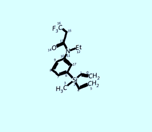 C=C[Si](C)(C=C)c1cccc(N(CC)C(=O)CC(F)(F)F)c1